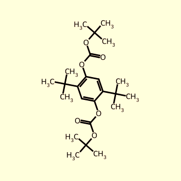 CC(C)(C)OC(=O)Oc1cc(C(C)(C)C)c(OC(=O)OC(C)(C)C)cc1C(C)(C)C